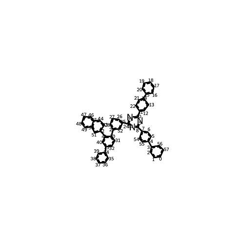 c1ccc(-c2ccc(-c3nc(-c4ccc(-c5ccccc5)cc4)nc(-c4cccc(-c5ccc(-c6ccccc6)cc5-c5ccc6ccccc6c5)c4)n3)cc2)cc1